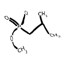 COP(=O)(Cl)CC(C)C